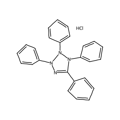 Cl.c1ccc(C2=NN(c3ccccc3)N(c3ccccc3)N2c2ccccc2)cc1